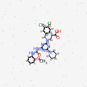 COc1ccccc1NC(=O)Nc1nc(N2CCCCC2)nc(N(CCC(=O)O)Cc2ccc(Cl)c(Cl)c2)n1